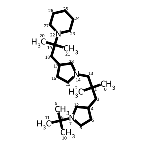 CC(C)(CC1CCN(C(C)(C)C)C1)CN1CCC(CC(C)(C)N2CCCCC2)C1